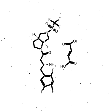 N[C@@H](CC(=O)N1CC[C@H]2CN(S(=O)(=O)C(F)(F)F)C[C@H]21)Cc1cc(F)c(F)cc1F.O=C(O)/C=C/C(=O)O